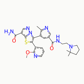 COc1ncccc1-c1sc2c(C(N)=O)cnn2c1-c1cc(C(=O)NCCN2CCCC2(C)C)cnc1C